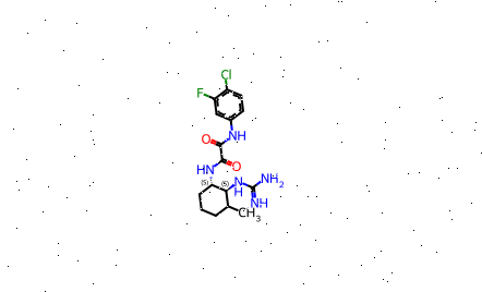 CC1CCC[C@H](NC(=O)C(=O)Nc2ccc(Cl)c(F)c2)[C@H]1NC(=N)N